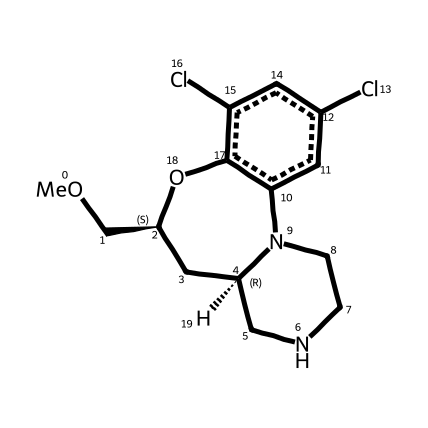 COC[C@@H]1C[C@@H]2CNCCN2c2cc(Cl)cc(Cl)c2O1